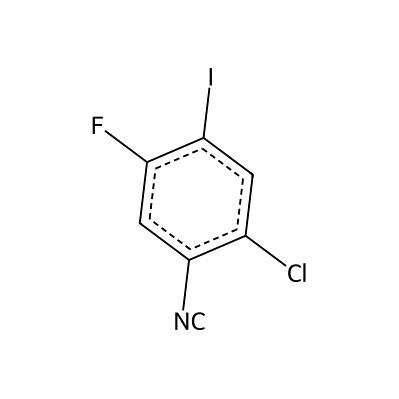 [C-]#[N+]c1cc(F)c(I)cc1Cl